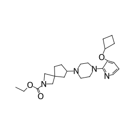 CCOC(=O)N1CC2(CCC(N3CCN(c4ncccc4OC4CCC4)CC3)C2)C1